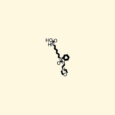 O=C(O)NCCCCCCn1c(=O)n(CCN2CCOCC2)c2ccccc21